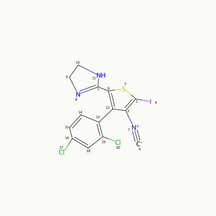 [C-]#[N+]c1c(I)sc(C2=NCCN2)c1-c1ccc(Cl)cc1Cl